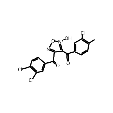 Cc1ccc(C(=O)c2c(C(=O)c3ccc(Cl)c(Cl)c3)no[n+]2O)cc1Cl